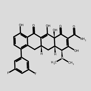 CN(C)[C@@H]1C(O)=C(C(N)=O)C(=O)[C@@]2(O)C(O)=C3C(=O)c4c(O)ccc(-c5cc(F)cc(F)c5)c4C[C@H]3C[C@@H]12